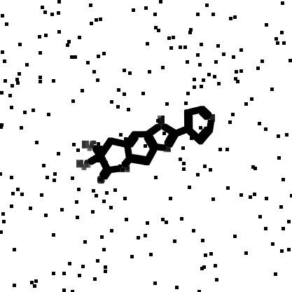 CC1(C)Cc2cc3[nH]c(-c4ccncc4)nc3cc2NC1=O